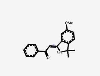 COc1ccc2c(c1)/C(=C/C(=O)c1ccccc1)NC2(C)C